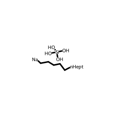 CCCCCCCCCCC[CH2][Na].O[Si](O)(O)O